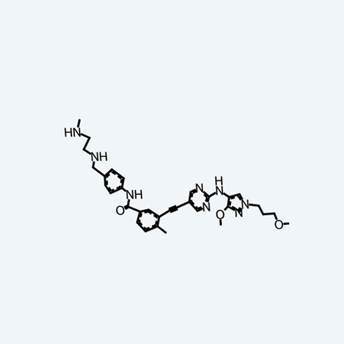 CNCCNCc1ccc(NC(=O)c2ccc(C)c(C#Cc3cnc(Nc4cn(CCCOC)nc4OC)nc3)c2)cc1